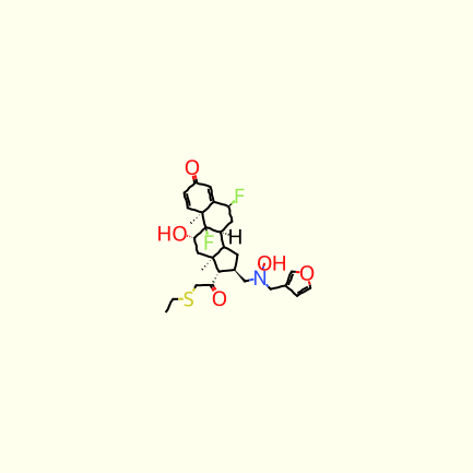 CCSCC(=O)[C@H]1[C@H](CN(O)Cc2ccoc2)CC2[C@@H]3C[C@H](F)C4=CC(=O)C=C[C@]4(C)[C@@]3(F)[C@@H](O)C[C@@]21C